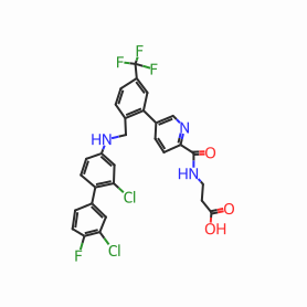 O=C(O)CCNC(=O)c1ccc(-c2cc(C(F)(F)F)ccc2CNc2ccc(-c3ccc(F)c(Cl)c3)c(Cl)c2)cn1